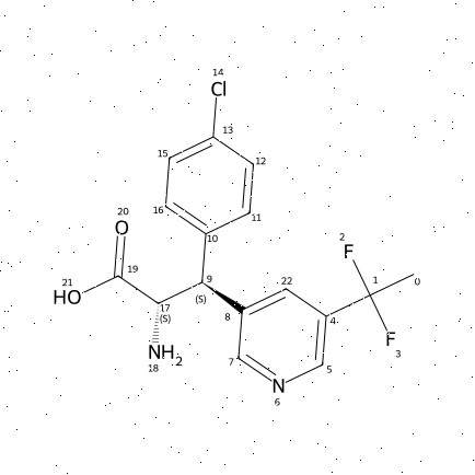 CC(F)(F)c1cncc([C@H](c2ccc(Cl)cc2)[C@H](N)C(=O)O)c1